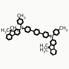 Cc1ccc(N(c2ccc(-c3ccc(-c4ccc(N(c5ccc(C)cc5)c5ccc6c(c5)C(C)(C)C5C=CC=CC65)cc4)cc3)cc2)c2ccc3c(c2)C(C)(C)c2ccccc2-3)cc1